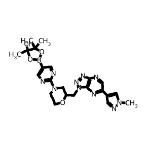 Cn1cc(-c2cnc3nnn(CC4CN(c5ncc(B6OC(C)(C)C(C)(C)O6)cn5)CCO4)c3n2)cn1